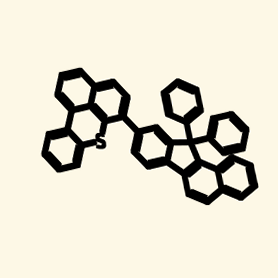 c1ccc(C2(c3ccccc3)c3cc(-c4ccc5cccc6c5c4Sc4ccccc4-6)ccc3-c3ccc4ccccc4c32)cc1